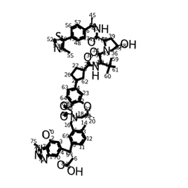 COc1cc([C@@H](CC(=O)O)c2ccc(C)c(CN3C[C@@H](C)Oc4cc(C5CCC(C(=O)N[C@@H](C(=O)N6C[C@@H](O)C[C@@H]6C(=O)N[C@H](C)c6ccc(-c7scnc7C)cc6)C(C)(C)C)C5)ccc4S3(=O)=O)c2)cc2nnn(C)c12